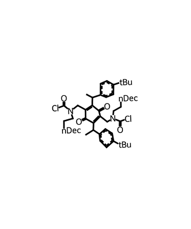 CCCCCCCCCCCCN(CC1=C(C(C)c2ccc(C(C)(C)C)cc2)C(=O)C(CN(CCCCCCCCCCCC)C(=O)Cl)=C(C(C)c2ccc(C(C)(C)C)cc2)C1=O)C(=O)Cl